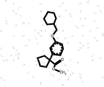 COC(=O)C1(c2cccc(OCC3CCCCC3)c2)CCCC1